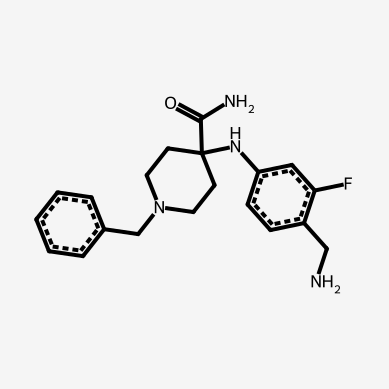 NCc1ccc(NC2(C(N)=O)CCN(Cc3ccccc3)CC2)cc1F